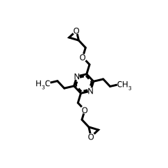 CCCc1nc(COCC2CO2)c(CCC)nc1COCC1CO1